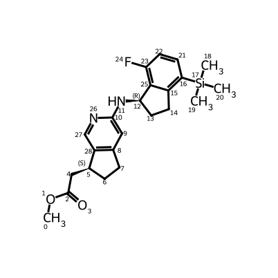 COC(=O)C[C@@H]1CCc2cc(N[C@@H]3CCc4c([Si](C)(C)C)ccc(F)c43)ncc21